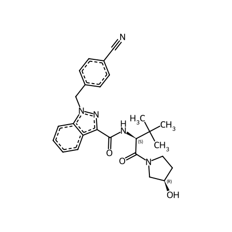 CC(C)(C)[C@H](NC(=O)c1nn(Cc2ccc(C#N)cc2)c2ccccc12)C(=O)N1CC[C@@H](O)C1